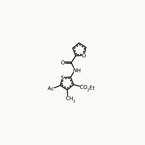 CCOC(=O)c1c(NC(=O)c2ccco2)sc(C(C)=O)c1C